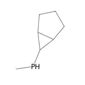 CPC1C2CCCC21